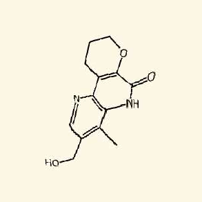 Cc1c(CO)cnc2c3c(c(=O)[nH]c12)OCCC3